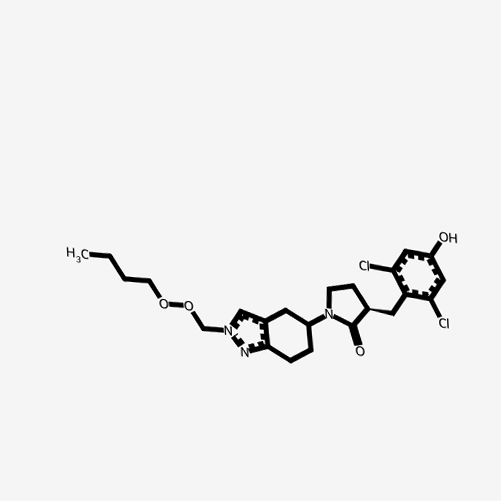 CCCCOOCn1cc2c(n1)CCC(N1CC[C@@H](Cc3c(Cl)cc(O)cc3Cl)C1=O)C2